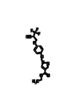 CCOC(=O)c1cnn(COc2ccc(OCC(O)C(F)(F)F)cc2)c1